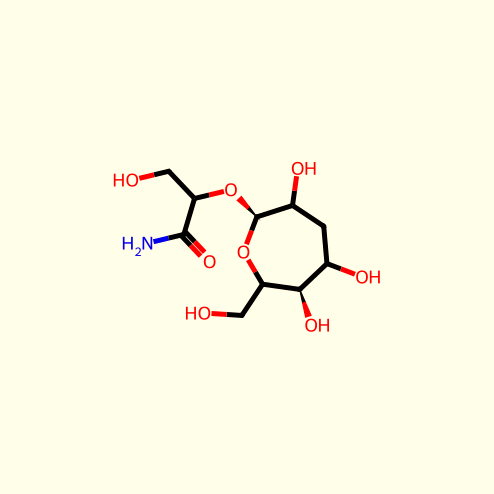 NC(=O)C(CO)O[C@@H]1OC(CO)[C@H](O)C(O)CC1O